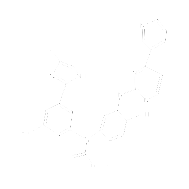 CCCCCCCC(=O)N(c1cc(-c2nc(C)c[nH]2)cc(C(F)(F)F)c1)c1ccc(C)c(Nc2nccc(-c3cccnc3)n2)c1